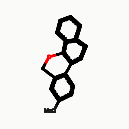 COc1ccc2c(c1)COc1c-2ccc2ccccc12